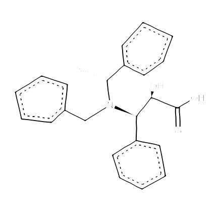 C[C@H](c1ccccc1)N(Cc1ccccc1)[C@H](c1ccccc1)[C@@H](O)C(=O)O